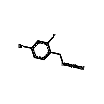 [N-]=[N+]=NCc1ccc(Br)cc1F